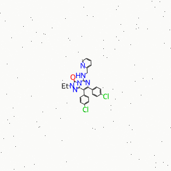 CCn1nc2c(-c3ccc(Cl)cc3)c(-c3ccc(Cl)cc3)nc(NCc3ccccn3)n2c1=O